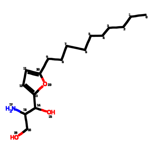 CCCCCCCCCCc1ccc(C(O)C(N)CO)o1